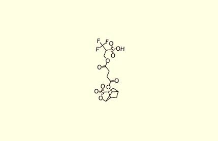 O=C(CCC(=O)OC1C2CC3C1OS(=O)(=O)C3C2)OCC(C(F)(F)F)S(=O)(=O)O